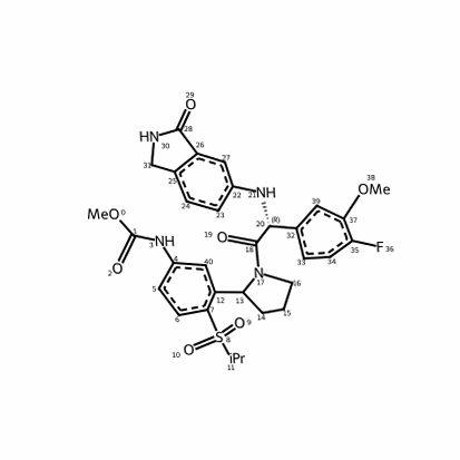 COC(=O)Nc1ccc(S(=O)(=O)C(C)C)c(C2CCCN2C(=O)[C@H](Nc2ccc3c(c2)C(=O)NC3)c2ccc(F)c(OC)c2)c1